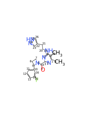 Cc1nc(C(=O)N2CCC2c2cccc(F)c2)nc(NCCc2cn[nH]c2)c1C